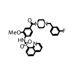 COc1cc(C(=O)N2CCN(Cc3cccc(F)c3)CC2)ccc1NS(=O)(=O)c1cccc2cccnc12